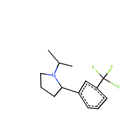 CC(C)N1CCCC1c1cccc(C(F)(F)F)c1